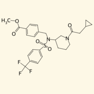 COC(=O)c1ccc(CN(C2CCCN(C(=O)CC3CC3)C2)S(=O)(=O)c2ccc(C(F)(F)F)cc2)cc1